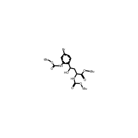 CC(C)(C)OC(=O)Nc1cc(Br)ccc1C(O)CC(NC(=O)OC(C)(C)C)C(=O)OC(C)(C)C